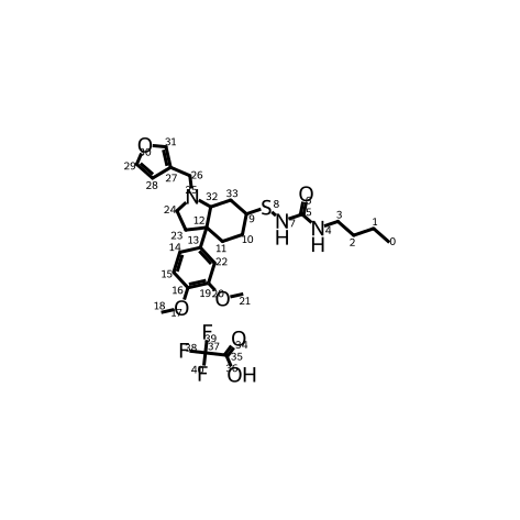 CCCCNC(=O)NSC1CCC2(c3ccc(OC)c(OC)c3)CCN(Cc3ccoc3)C2C1.O=C(O)C(F)(F)F